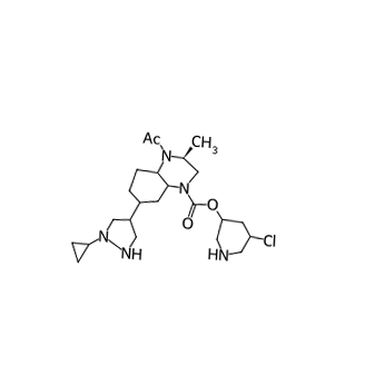 CC(=O)N1C2CCC(C3CNN(C4CC4)C3)CC2N(C(=O)OC2CNCC(Cl)C2)C[C@@H]1C